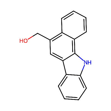 OCc1cc2c3ccccc3[nH]c2c2ccccc12